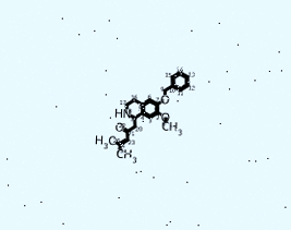 COc1cc2c(cc1OCc1ccccc1)CCNC2CC(=O)C=C(C)C